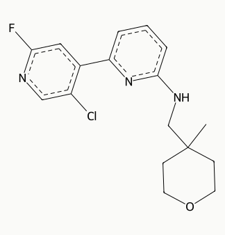 CC1(CNc2cccc(-c3cc(F)ncc3Cl)n2)CCOCC1